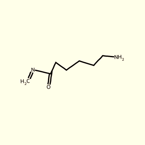 C=NC(=O)CCCCCN